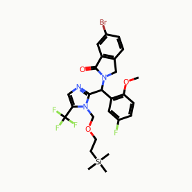 COc1ccc(F)cc1C(c1ncc(C(F)(F)F)n1COCC[Si](C)(C)C)N1Cc2ccc(Br)cc2C1=O